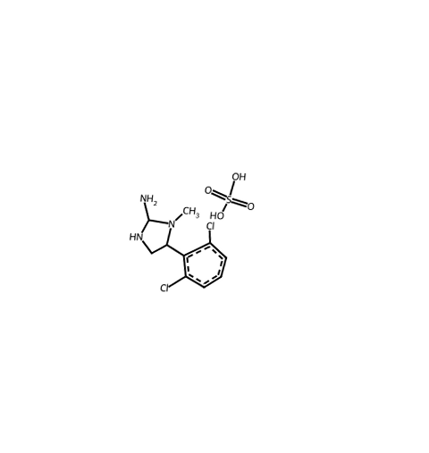 CN1C(N)NCC1c1c(Cl)cccc1Cl.O=S(=O)(O)O